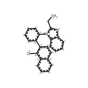 CCc1nc2ccccc2n1-c1ccccc1-c1ccc2ccccc2c1Cl